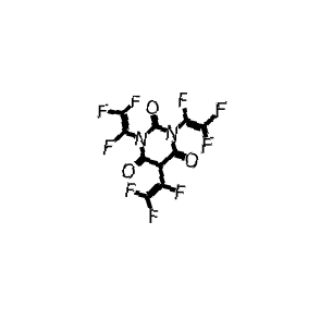 O=C1C(C(F)=C(F)F)C(=O)N(C(F)=C(F)F)C(=O)N1C(F)=C(F)F